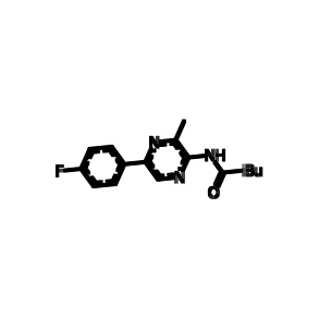 CCC(C)C(=O)Nc1ncc(-c2ccc(F)cc2)nc1C